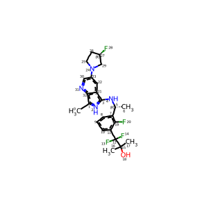 Cc1[nH]c(N[C@H](C)c2cccc(C(F)(F)C(C)(C)O)c2F)c2cc(N3CC[C@@H](F)C3)cnc12